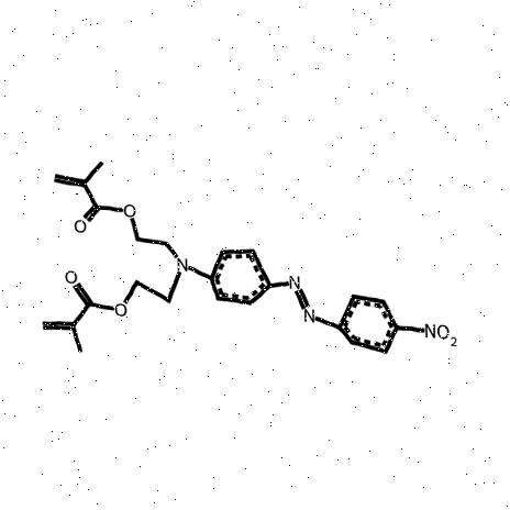 C=C(C)C(=O)OCCN(CCOC(=O)C(=C)C)c1ccc(N=Nc2ccc([N+](=O)[O-])cc2)cc1